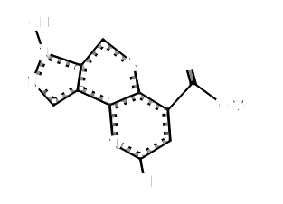 COC(=O)c1cc(Cl)nc2c1ncc1c2cnn1C